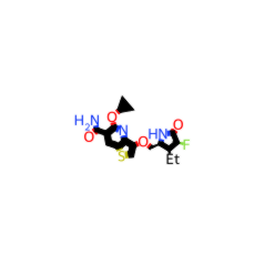 CC[C@@H]1[C@H](F)C(=O)N[C@@H]1COc1csc2cc(C(N)=O)c(OC3CC3)nc12